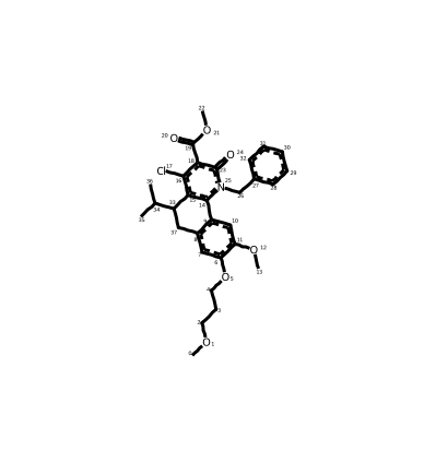 COCCCOc1cc2c(cc1OC)-c1c(c(Cl)c(C(=O)OC)c(=O)n1Cc1ccccc1)C(C(C)C)C2